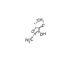 CC[C@H]1OC(C)=C(O)C1=O